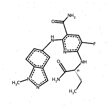 CC[C@@H](Nc1nc(Nc2ccc3c(cnn3C)c2)c(C(N)=O)cc1F)C(N)=O